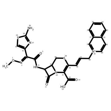 CON=C(C(=O)NC1C(=O)N2C(C(=O)O)=C(C=CC[n+]3ccc4ccccc4c3)SCC12)c1csc(N)n1